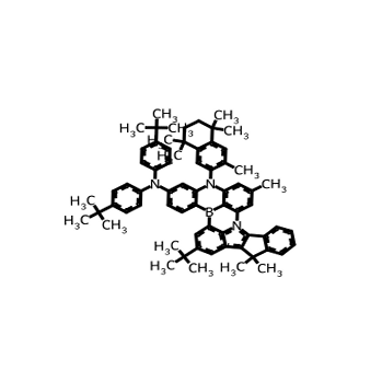 Cc1cc2c3c(c1)-n1c4c(c5cc(C(C)(C)C)cc(c51)B3c1ccc(N(c3ccc(C(C)(C)C)cc3)c3ccc(C(C)(C)C)cc3)cc1N2c1cc2c(cc1C)C(C)(C)CCC2(C)C)C(C)(C)c1ccccc1-4